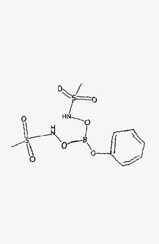 CS(=O)(=O)NOB(ONS(C)(=O)=O)Oc1ccccc1